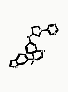 C[N+]1(c2ccc3cc[nH]c3c2)C=CNc2cc(N[C@H]3CCN(c4cncnc4)C3)ccc21